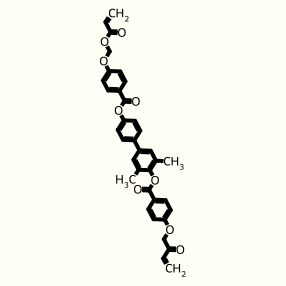 C=CC(=O)COc1ccc(C(=O)Oc2c(C)cc(-c3ccc(OC(=O)c4ccc(OCOC(=O)C=C)cc4)cc3)cc2C)cc1